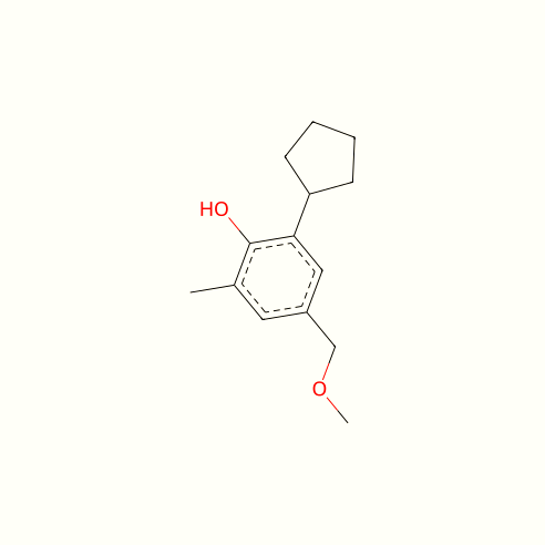 COCc1cc(C)c(O)c(C2CCCC2)c1